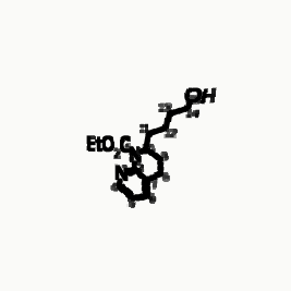 CCOC(=O)N1c2ncccc2CCC1CCCCO